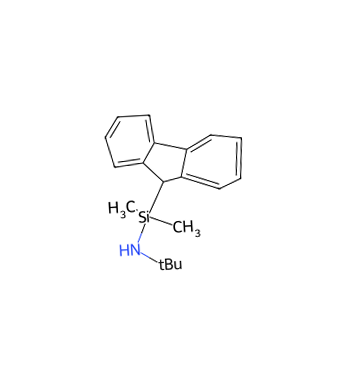 CC(C)(C)N[Si](C)(C)C1c2ccccc2-c2ccccc21